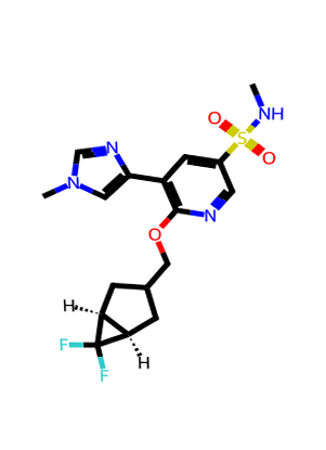 CNS(=O)(=O)c1cnc(OCC2C[C@@H]3[C@H](C2)C3(F)F)c(-c2cn(C)cn2)c1